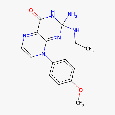 NC1(NCC(F)(F)F)N=C2C(=NC=CN2c2ccc(OC(F)(F)F)cc2)C(=O)N1